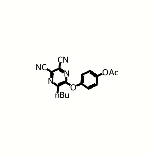 CCCCc1nc(C#N)c(C#N)nc1Oc1ccc(OC(C)=O)cc1